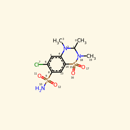 CC1N(C)c2cc(Cl)c(S(N)(=O)=O)cc2S(=O)(=O)N1C